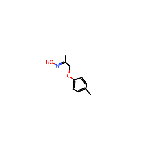 CC(COc1ccc(C)cc1)=NO